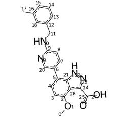 COc1ccc(-c2ccc(NCc3cccc(C)c3)nc2)c2[nH]nc(C(=O)O)c12